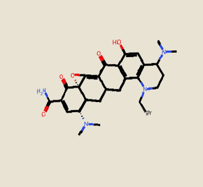 CC(C)CN1CCC(N(C)C)c2cc(O)c3c(c21)CC1CC2[C@H](N(C)C)C=C(C(N)=O)C(=O)[C@]24OC4=C1C3=O